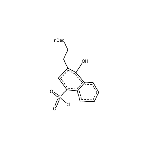 CCCCCCCCCCCCc1cc(S(=O)(=O)Cl)c2ccccc2c1O